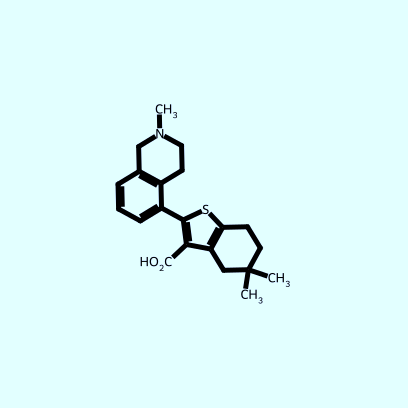 CN1CCc2c(cccc2-c2sc3c(c2C(=O)O)CC(C)(C)CC3)C1